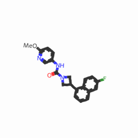 COc1ccc(NC(=O)N2CC(c3cccc4cc(F)ccc34)C2)cn1